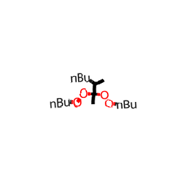 CCCCOOC(C)(OOCCCC)C(C)CCCC